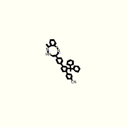 C=C1/N=C\N/C=C(c2ccc(-c3ccc(-c4ccc(C#N)cc4)c(C(C)(c4ccccc4)c4ccccc4)c3)cc2)\C=N/Sc2ccccc21